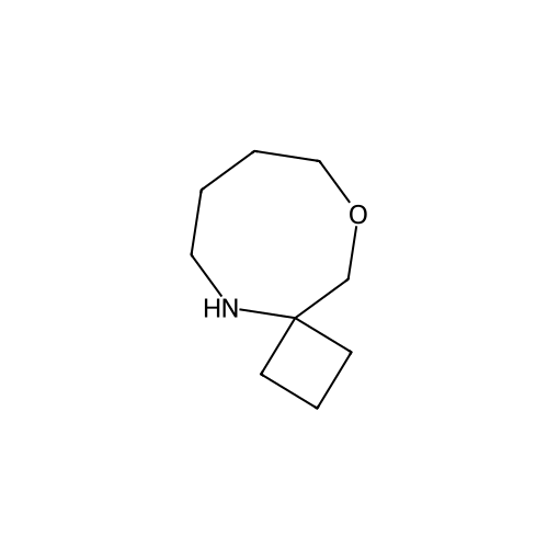 C1CCOCC2(CCC2)NC1